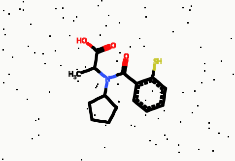 CC(C(=O)O)N(C(=O)c1ccccc1S)C1CCCC1